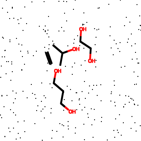 C=C.CC(C)O.OCCCO.OCCO